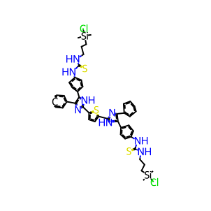 C[Si](C)(Cl)CCCNC(=S)Nc1ccc(-c2[nH]c(-c3ccc(-c4nc(-c5ccccc5)c(-c5ccc(NC(=S)NCCC[Si](C)(C)Cl)cc5)[nH]4)s3)nc2-c2ccccc2)cc1